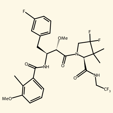 COc1cccc(C(=O)N[C@@H](Cc2cccc(F)c2)[C@H](OC)C(=O)N2CC(F)(F)C(C)(C)[C@H]2C(=O)NCC(F)(F)F)c1C